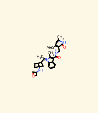 CSc1cc(C)[nH]c(=O)c1CNC(=O)c1c(C)n([C@H](C)C2CC3(NC4COC4)CCC23)c2ccccc12